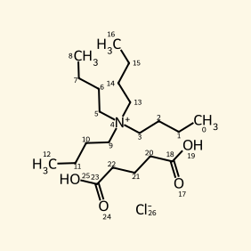 CCCC[N+](CCCC)(CCCC)CCCC.O=C(O)CCCC(=O)O.[Cl-]